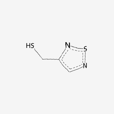 SCc1cnsn1